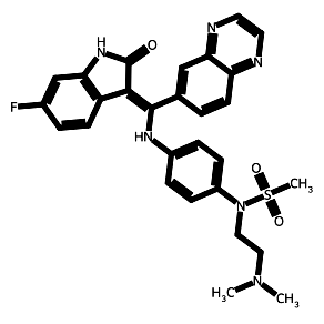 CN(C)CCN(c1ccc(NC(=C2C(=O)Nc3cc(F)ccc32)c2ccc3nccnc3c2)cc1)S(C)(=O)=O